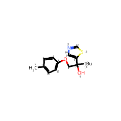 Cc1ccc(OCC(O)(c2cncs2)C(C)(C)C)cc1